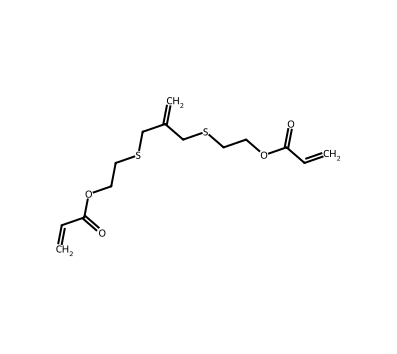 C=CC(=O)OCCSCC(=C)CSCCOC(=O)C=C